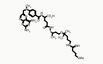 CSCCCC(=N)NCCCC(C)(C)OCCC(C)SNC(=O)CCC(NC(=O)c1ccc(N(C)Cc2cnc3nc(N)nc(N)c3n2)cc1)C(=O)O